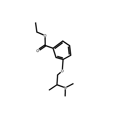 CCOC(=O)c1cccc(OCC(C)N(C)C)c1